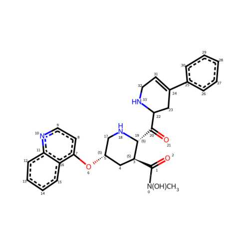 CN(O)C(=O)[C@H]1C[C@H](Oc2ccnc3ccccc23)CN[C@@H]1C(=O)C1CC(c2ccccc2)=CCN1